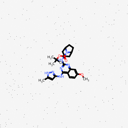 COc1ccc2c(Nc3cc(C)[nH]n3)nc(NC3CC4CCC(C3)N4C(=O)OC(C)(C)C)nc2c1